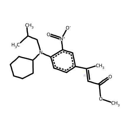 COC(=O)/C=C(\C)c1ccc(N(CC(C)C)C2CCCCC2)c([N+](=O)[O-])c1